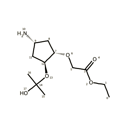 CCOC(=O)CO[C@H]1C[C@@H](N)C[C@@H]1OC(C)(C)O